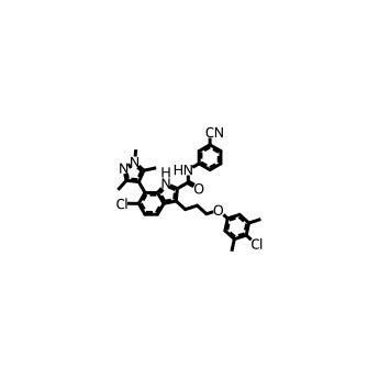 Cc1cc(OCCCc2c(C(=O)Nc3cccc(C#N)c3)[nH]c3c(-c4c(C)nn(C)c4C)c(Cl)ccc23)cc(C)c1Cl